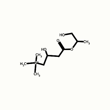 CC(CO)OC(=O)CC(O)C[N+](C)(C)C